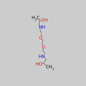 CC(O)CNCCOCCOCCNCC(C)O